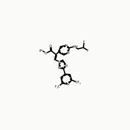 CC(C)OC(=O)/C(=C/n1cnc(-c2cc(C(F)(F)F)nc(C(F)(F)F)c2)n1)c1cnc(NCC(F)F)nc1